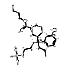 CCCCOC(=O)N1CCCC([C@@](CCC)(OCCOS(C)(=O)=O)c2cccc(Cl)c2)C1